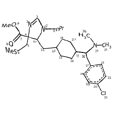 CCCN1C=NC(CSC)(C(=O)OC)C1CC1CCC(C(c2ccc(Cl)cc2)N(C)C)CC1